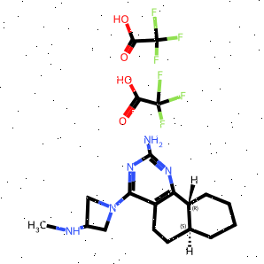 CNC1CN(c2nc(N)nc3c2CC[C@@H]2CCCC[C@@H]32)C1.O=C(O)C(F)(F)F.O=C(O)C(F)(F)F